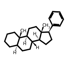 C[C@]12CCCC[C@@H]1CC[C@@H]1[C@@H]2CC[C@]2(C)[C@@H](c3ccccc3)CC[C@@H]12